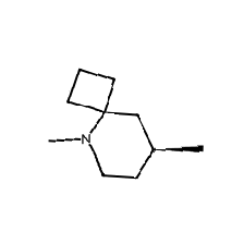 C[C@H]1CCN(C)C2(CCC2)C1